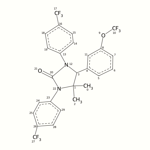 CC1(C)C(c2cccc(OC(F)(F)F)c2)N(c2ccc(C(F)(F)F)cc2)C(=O)N1c1ccc(C(F)(F)F)cc1